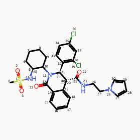 CS(=O)(=O)N[C@H]1CCCCC1N1C(=O)c2ccccc2[C@@H](C(=O)NCCn2cccc2)[C@@H]1c1ccc(Cl)cc1Cl